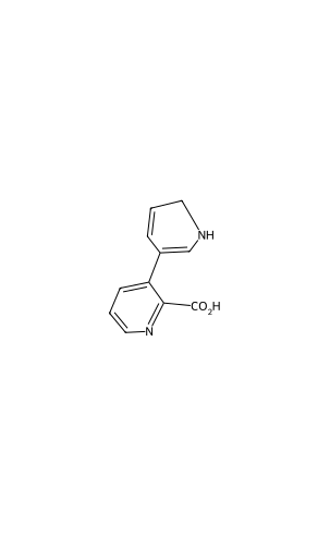 O=C(O)c1ncccc1C1=CNCC=C1